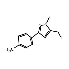 Cn1nc(-c2ccc(C(F)(F)F)cc2)cc1CI